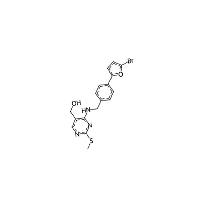 CSc1ncc(CO)c(NCc2ccc(-c3ccc(Br)o3)cc2)n1